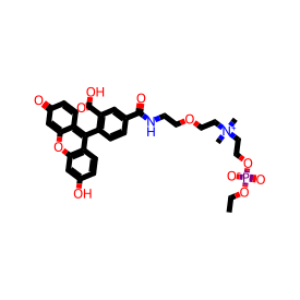 CCOP(=O)([O-])OCC[N+](C)(C)CCOCCNC(=O)c1ccc(-c2c3ccc(=O)cc-3oc3cc(O)ccc23)c(C(=O)O)c1